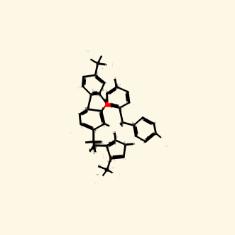 CCC1=[C]([Zr+2](=[C](c2ccc(C)cc2)c2ccc(C)cc2)[c]2c(C(C)(C)C)ccc3c2Cc2cc(C(C)(C)C)ccc2-3)C(C)C=C1C(C)(C)C.[Cl-].[Cl-]